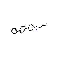 CCCCC[Si@]1(I)CC[C@@H](c2ccc(-c3ccccc3)cc2)CC1